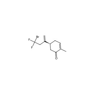 C=C(CC(F)(F)Br)[C@H]1CC=C(C)C(=O)C1